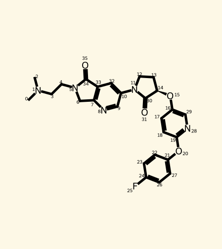 CN(C)CCN1Cc2ncc(N3CC[C@@H](Oc4ccc(Oc5ccc(F)cc5)nc4)C3=O)cc2C1=O